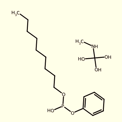 CCCCCCCCCOP(O)Oc1ccccc1.CNC(O)(O)O